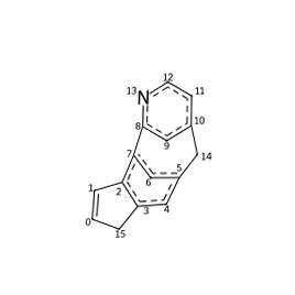 C1=Cc2c(cc3cc2-c2cc(ccn2)C3)C1